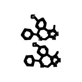 Cc1nnc2n1-c1ccc(Cl)cc1C(c1ccccc1)=NC2.Cc1nnc2n1-c1ccc(Cl)cc1C(c1ccccc1)=NC2